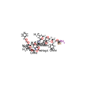 C=C1C[C@@H](C[C@H]2C[C@@H](O[Si](C)(C)C(C)(C)C)C[C@@H](C[C@H](CCOB(P)S)OCc3ccc(OC)cc3)O2)O[C@@H](/C=C/C(C)(C)[C@]2(OC)O[C@H](C[C@@H](O[Si](C)(C)C(C)(C)C)[C@@H](C)OCOCc3ccccc3)C/C(=C\C(=O)OC)[C@@H]2OC(=O)CCCCCCC)C1